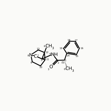 C[C@H](C(=O)NC1(C)CN2CCC1CC2)c1ccccc1